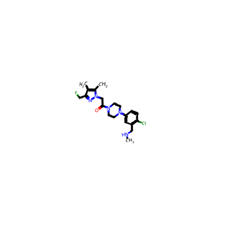 CNCc1cc(N2CCN(C(=O)Cn3nc(CF)c(C)c3C)CC2)ccc1Cl